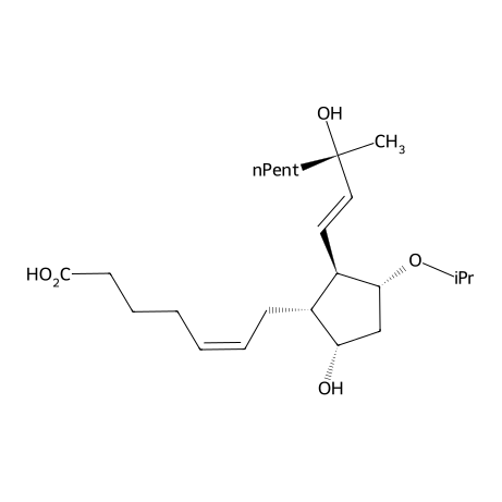 CCCCC[C@](C)(O)/C=C/[C@@H]1[C@@H](C/C=C\CCCC(=O)O)[C@@H](O)C[C@H]1OC(C)C